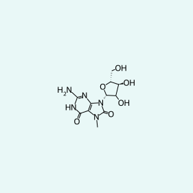 Cn1c(=O)n([C@@H]2O[C@H](CO)[C@@H](O)C2O)c2nc(N)[nH]c(=O)c21